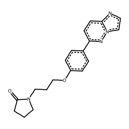 O=C1CCCN1CCCOc1ccc(-c2ccc3nccn3n2)cc1